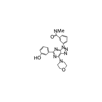 CNC(=O)c1cccc(-n2nnc3c(N4CCOCC4)nc(-c4cccc(O)c4)nc32)c1